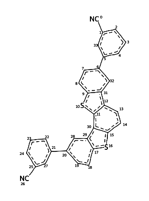 N#Cc1cccc(-c2ccc3sc4c(ccc5sc6ccc(-c7cccc(C#N)c7)cc6c54)c3c2)c1